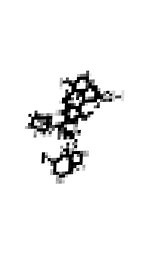 C#Cc1c(F)ccc2cc(O)cc(-c3c(C#N)cc4c(N5CC6CCC(C5)N6)nc(OCC56CCCC5CCC[C@H](F)C6)nc4c3F)c12